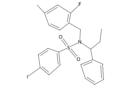 CCC(c1ccccc1)N(Cc1ccc(C)cc1F)S(=O)(=O)c1ccc(I)cc1